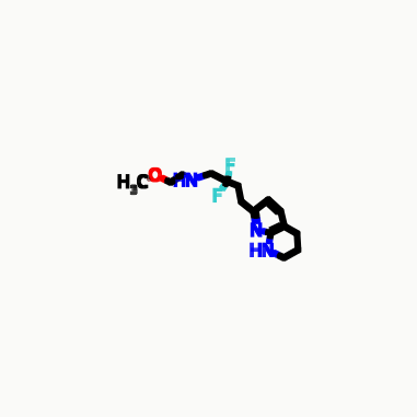 COCCNCC(F)(F)CCc1ccc2c(n1)NCCC2